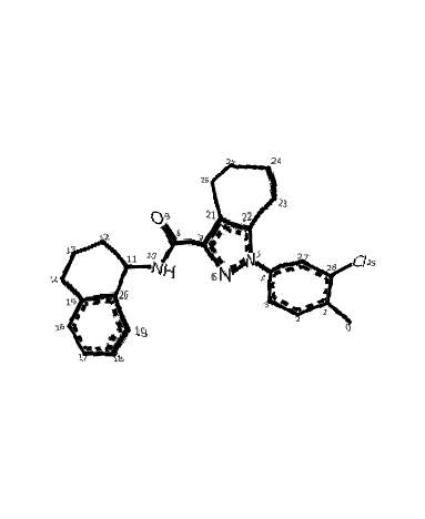 Cc1ccc(-n2nc(C(=O)NC3CCCc4ccccc43)c3c2CCCC3)cc1Cl